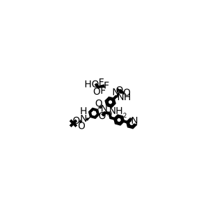 CC(C)(C)OC(=O)NC[C@H]1CC[C@H](C(=O)N(C(=O)[C@@H](N)Cc2ccc(-c3cccnc3)cc2)c2ccc(-c3noc(=O)[nH]3)cc2)CC1.O=C(O)C(F)(F)F